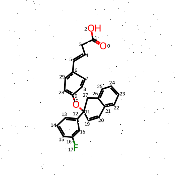 O=C(O)CC=Cc1ccc(OC2(c3cccc(F)c3)C=Cc3ccccc3C2)cc1